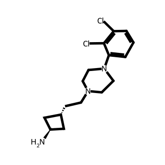 N[C@H]1C[C@H](CCN2CCN(c3cccc(Cl)c3Cl)CC2)C1